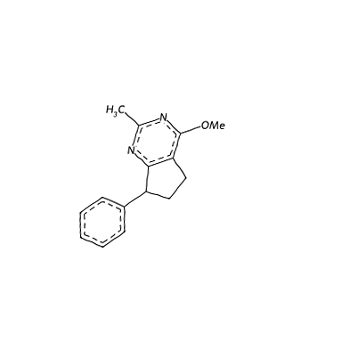 COc1nc(C)nc2c1CCC2c1ccccc1